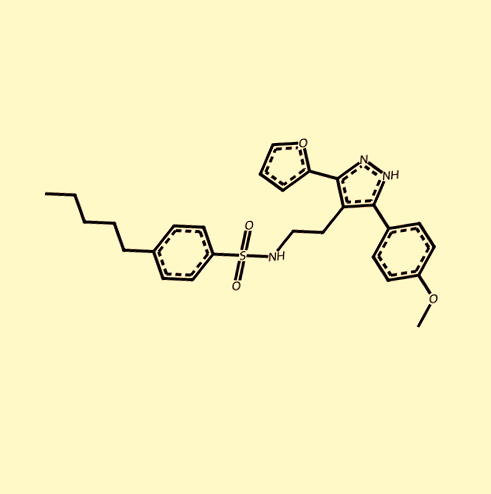 CCCCCc1ccc(S(=O)(=O)NCCc2c(-c3ccco3)n[nH]c2-c2ccc(OC)cc2)cc1